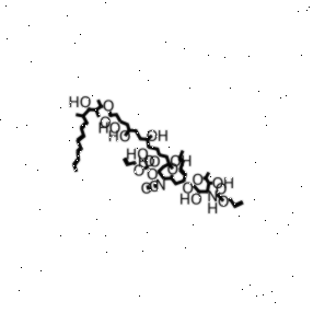 C=CCOC(=O)NC1C(O)C(C)OC(OC(/C=C/C=C/C)CC2OC(O)(CC(O)CC(O)C(O)CCC(O)CC(O)CC(=O)OC(C)C(C)C(O)C(C)/C=C/C=C/C=C/C=C/C)CC(OC(=O)OCC=C)C2N=C=O)C1O